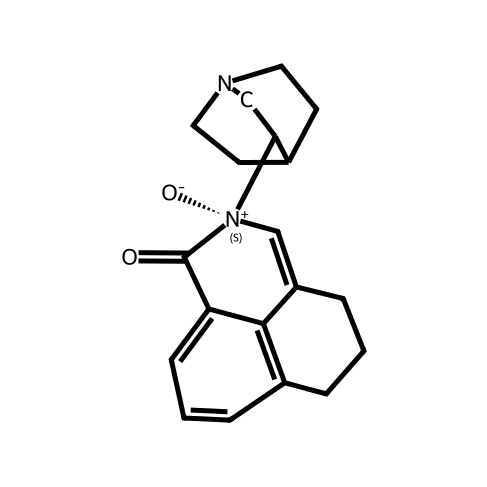 O=C1c2cccc3c2C(=C[N@+]1([O-])C1CN2CCC1CC2)CCC3